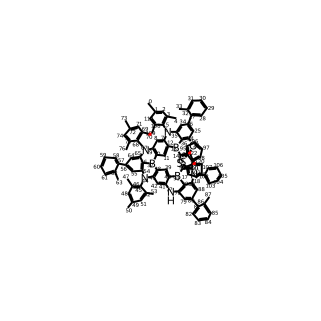 Cc1cc(C)c(N2c3cc4c(cc3B3c5sc6ccccc6c5Oc5cc(-c6ccccc6C)cc2c53)B2c3cc5c(cc3N(c3c(C)cc(C)cc3C)c3cc(-c6ccccc6C)cc(c32)N4c2c(C)cc(C)cc2C)Nc2cc(-c3ccccc3C)cc3c2B5c2sc4ccccc4c2N3c2ccccc2)c(C)c1